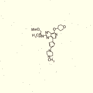 COC[C@H](C)Nc1ncc2c(OC3CCOCC3)ncc(-c3ccc(N4CCN(C)CC4)cc3)c2n1